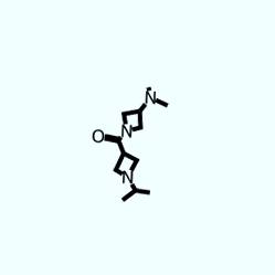 CC(C)N1CC(C(=O)N2CC(N(C)C)C2)C1